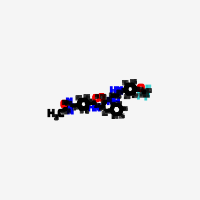 Cc1nc(-c2ccc(C(=O)N[C@@H](CC3CCCCC3)C(=O)NCCNc3ccc(OC(F)(F)F)cc3)cc2)no1